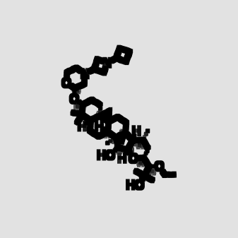 CCO[C@@H]([C@H]1C[C@@H](C)[C@H]2[C@H](O1)[C@H](O)[C@@]1(C)[C@@H]3CC[C@H]4C(C)(C)[C@@H](O[C@H]5CN(C6CN(C7CCC7)C6)CCO5)CC[C@@]45CC35CC[C@]21C)C(C)(C)O